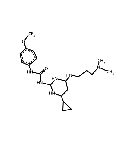 CN(C)CCCNC1CC(C2CC2)NC(NC(=O)Nc2ccc(OC(F)(F)F)cc2)N1